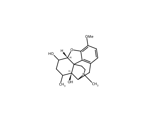 COc1ccc2c3c1O[C@H]1C(O)CC(C)[C@@]4(O)C(C2)N(C)CCC314